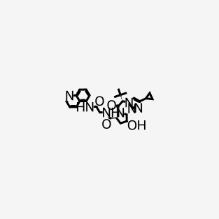 CC(C)(C)[C@@H](C(=O)N1C[C@H](O)C[C@H]1C(=O)NCC(=O)Nc1cccc2ncccc12)n1cc(C2CC2)nn1